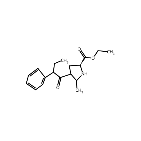 CCOC(=O)[C@@H]1CC(C(=O)C(CC)c2ccccc2)C(C)N1